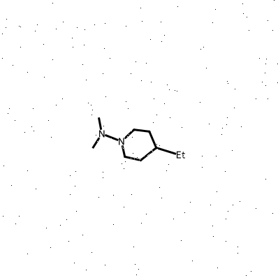 CCC1CCN(N(C)C)CC1